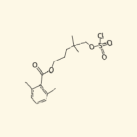 Cc1cccc(C)c1C(=O)OCCCC(C)(C)COS(=O)(=O)Cl